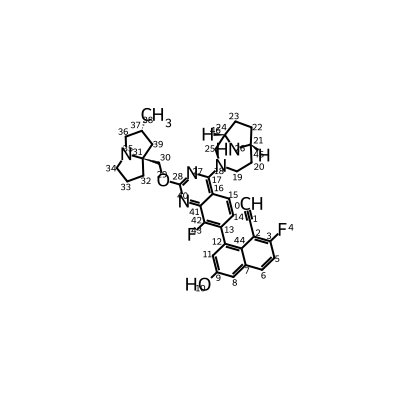 C#Cc1c(F)ccc2cc(O)cc(-c3ccc4c(N5CC[C@H]6CC[C@@H](C5)N6)nc(OC[C@@]56CCCN5C[C@H](C)C6)nc4c3F)c12